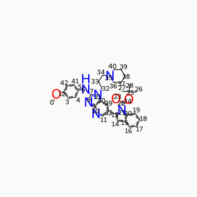 COc1ccc(Nc2nc3ncc(-c4cc5ccccc5n4C(=O)OC(C)(C)C)cc3n2CCCN2CCCCC2)cc1